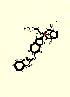 O=C(O)CNC1C[C@H]2CC[C@@H](C1)N2Cc1cc2ccc(Oc3nc4ccccc4s3)cc2o1